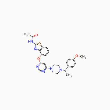 COc1ccc(C(C)N2CCN(c3cc(Oc4cccc5sc(NC(C)=O)nc45)ncn3)CC2)cc1